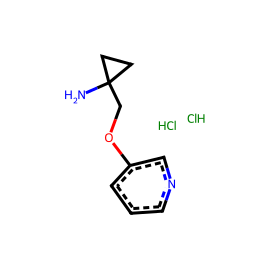 Cl.Cl.NC1(COc2cccnc2)CC1